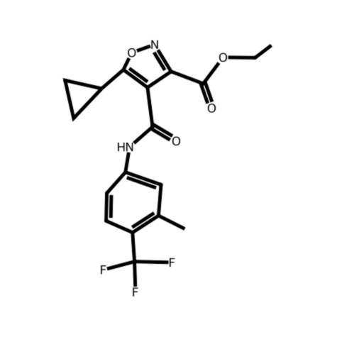 CCOC(=O)c1noc(C2CC2)c1C(=O)Nc1ccc(C(F)(F)F)c(C)c1